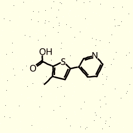 Cc1cc(-c2cccnc2)sc1C(=O)O